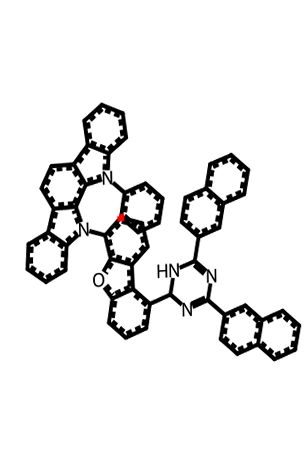 c1ccc(-n2c3ccccc3c3ccc4c5ccccc5n(-c5cccc6c5oc5cccc(C7N=C(c8ccc9ccccc9c8)N=C(c8ccc9ccccc9c8)N7)c56)c4c32)cc1